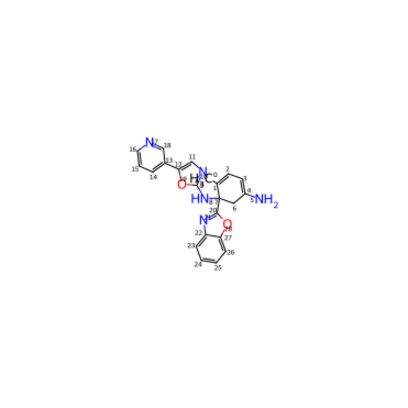 CC1=CC=C(N)CC1(Nc1ncc(-c2cccnc2)o1)c1nc2ccccc2o1